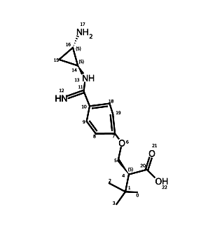 CC(C)(C)[C@@H](COc1ccc(C(=N)N[C@H]2C[C@@H]2N)cc1)C(=O)O